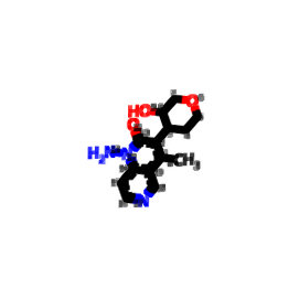 Cc1c(C2CCOCC2O)c(=O)n(N)c2ccncc12